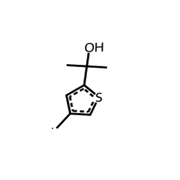 [CH2]c1csc(C(C)(C)O)c1